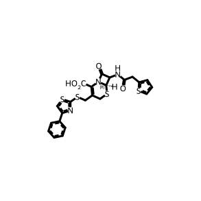 O=C(Cc1cccs1)NC1C(=O)N2C(C(=O)O)=C(CSc3nc(-c4ccccc4)cs3)CS[C@H]12